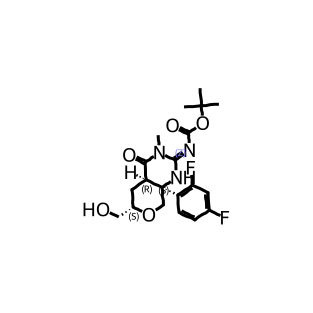 CN1C(=O)[C@@H]2C[C@@H](CO)OC[C@]2(c2ccc(F)cc2F)N/C1=N/C(=O)OC(C)(C)C